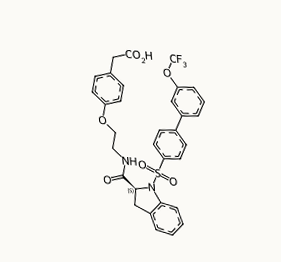 O=C(O)Cc1ccc(OCCNC(=O)[C@@H]2Cc3ccccc3N2S(=O)(=O)c2ccc(-c3cccc(OC(F)(F)F)c3)cc2)cc1